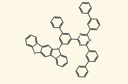 c1ccc(-c2cccc(-c3nc(-c4cccc(-c5ccccc5)c4)nc(-c4cc(-c5ccccc5)cc(-n5c6ccccc6c6cc7sc8ccccc8c7cc65)c4)n3)c2)cc1